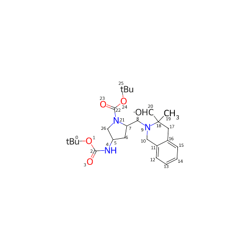 CC(C)(C)OC(=O)NC1CC(CN2Cc3ccccc3CC2(C)[C]=O)N(C(=O)OC(C)(C)C)C1